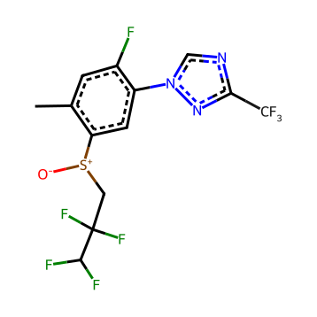 Cc1cc(F)c(-n2cnc(C(F)(F)F)n2)cc1[S+]([O-])CC(F)(F)C(F)F